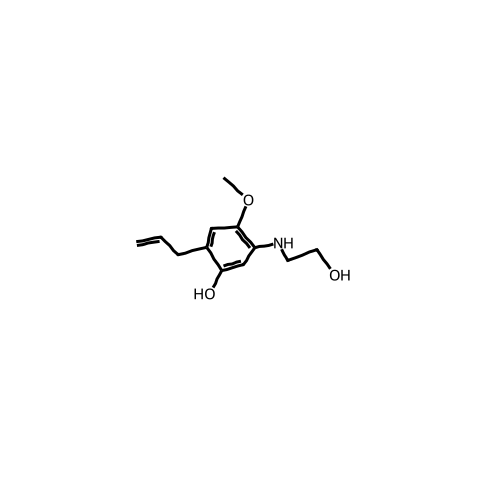 C=CCc1cc(OC)c(NCCO)cc1O